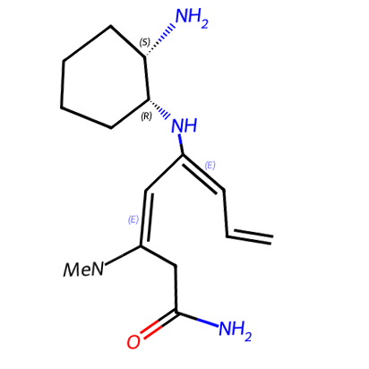 C=C/C=C(\C=C(/CC(N)=O)NC)N[C@@H]1CCCC[C@@H]1N